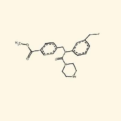 COC(=O)c1ccc(CN(C(=O)N2CCNCC2)c2cccc(CF)c2)cc1